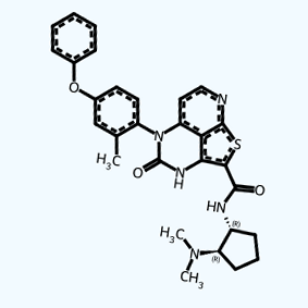 Cc1cc(Oc2ccccc2)ccc1N1C(=O)Nc2c(C(=O)N[C@@H]3CCC[C@H]3N(C)C)sc3nccc1c23